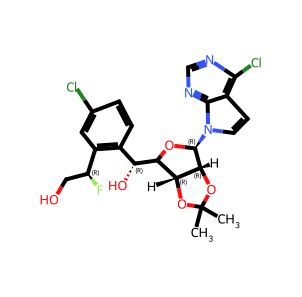 CC1(C)O[C@@H]2[C@H](O1)C([C@H](O)c1ccc(Cl)cc1[C@@H](F)CO)O[C@H]2n1ccc2c(Cl)ncnc21